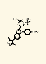 COC1CCC(n2c([C@@H](CO[Si](C)(C)C(C)(C)C)OC(N)=O)nc3cc(-c4c(C)noc4C)ccc32)CC1